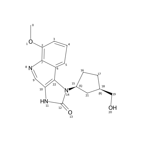 COc1cccc2c1ncc1[nH]c(=O)n([C@H]3CC[C@@H](CO)C3)c12